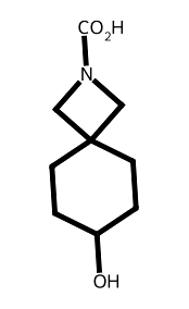 O=C(O)N1CC2(CCC(O)CC2)C1